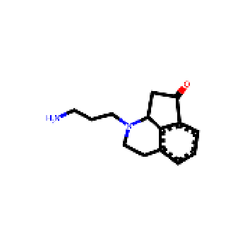 NCCCN1CCc2cccc3c2C1CC3=O